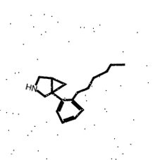 CCCCCCc1ccccc1C12CNCC1C2